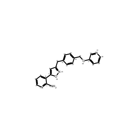 Nc1ncccc1-c1cc(Cc2ccc(COc3cccnc3)cc2)no1